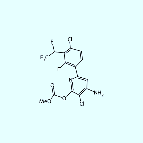 COC(=O)Oc1nc(-c2ccc(Cl)c(C(F)C(F)(F)F)c2F)cc(N)c1Cl